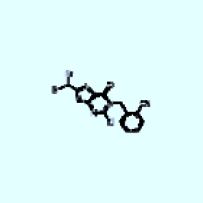 N#Cc1ccccc1Cn1c(Cl)nc2cc(C(Br)Br)sc2c1=O